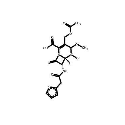 CSC1C(COC(C)=O)=C(C(=O)O)N2C(=O)[C@@H](NC(=O)Cc3cccs3)[C@H]2[S+]1[O-]